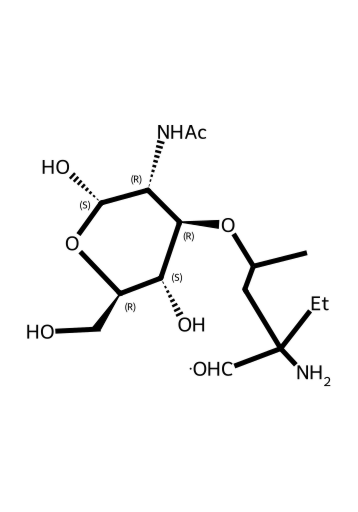 CCC(N)([C]=O)CC(C)O[C@H]1[C@H](O)[C@@H](CO)O[C@H](O)[C@@H]1NC(C)=O